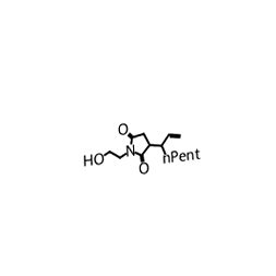 C=CC(CCCCC)C1CC(=O)N(CCO)C1=O